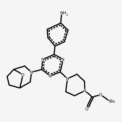 CC(C)(C)OC(=O)N1CCN(c2nc(-c3ccc(N)cc3)nc(N3CC4CCC(C3)O4)n2)CC1